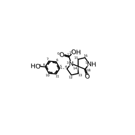 O=C(O)N1[C@@H](c2ccc(O)cc2)CC[C@]12CCNC2=O